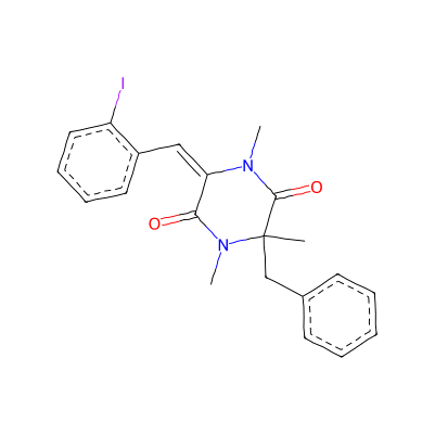 CN1C(=O)C(C)(Cc2ccccc2)N(C)C(=O)/C1=C\c1ccccc1I